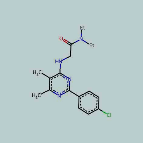 CCN(CC)C(=O)CNc1nc(-c2ccc(Cl)cc2)nc(C)c1C